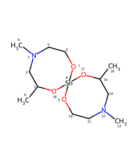 CC1CN(C)CC[O][Sn]2([O]CCN(C)CC(C)[O]2)[O]1